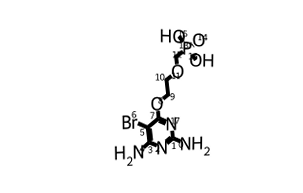 Nc1nc(N)c(Br)c(OCCOCP(=O)(O)O)n1